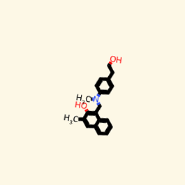 Cc1cc2ccccc2c(CN(C)c2ccc(CCO)cc2)c1O